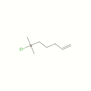 C=CCCC[Si](C)(C)Cl